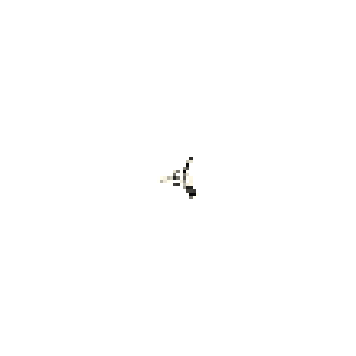 [CH2]=[Sn]([CH3])[CH3]